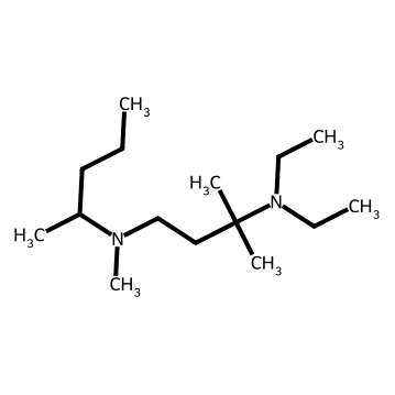 CCCC(C)N(C)CCC(C)(C)N(CC)CC